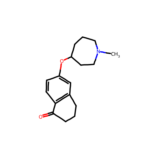 CN1CCCC(Oc2ccc3c(c2)CCCC3=O)CC1